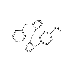 Bc1ccc2c(c1)C1(c3ccccc3Cc3ccccc31)c1ccccc1-2